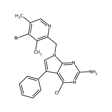 Cc1cnc(Cn2cc(-c3ccccc3)c3c(Cl)nc(N)nc32)c(C)c1Br